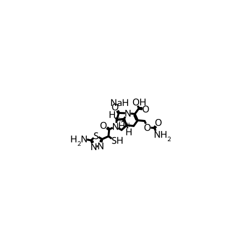 NC(=O)OCC1=C(C(=O)O)N2C(=O)[C@@H]3[C@H]2[C@H](C1)CN3C(=O)C(S)c1nnc(N)s1.[NaH]